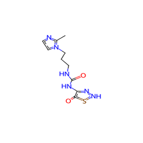 Cc1nccn1CCCNC(=O)Nc1n[nH]sc1=O